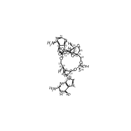 Nc1nc2c(ncn2[C@@H]2O[C@@H]3COP(=O)(O)O[C@H]4[C@H]5OC[C@@]4(COP(O)(=S)O[C@@H]2[C@H]3F)O[C@H]5n2cnc3c(N)ncnc32)c(=O)[nH]1